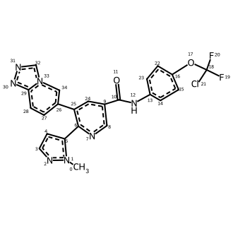 Cn1nccc1-c1ncc(C(=O)Nc2ccc(OC(F)(F)Cl)cc2)cc1-c1ccc2nncn2c1